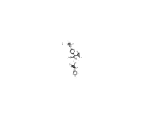 [C-]#[N+]c1c(N)nc(SCc2nc(-c3ccc(F)cc3)oc2C)c(C#N)c1-c1ccc(OCC(C)(C)O)cc1